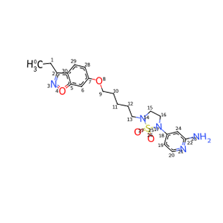 CCc1noc2cc(OCCCCCN3CCN(c4ccnc(N)c4)S3(=O)=O)ccc12